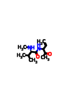 C=CC(NC(=O)[C@@H](NC)C(C)C)C(C)=O